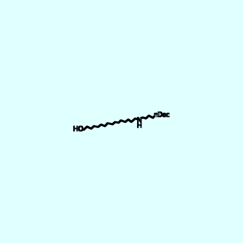 CCCCCCCCCCCCCCNCCCCCCCCCCCCCCCCO